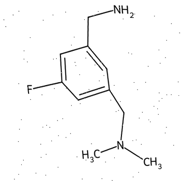 CN(C)Cc1cc(F)cc(CN)c1